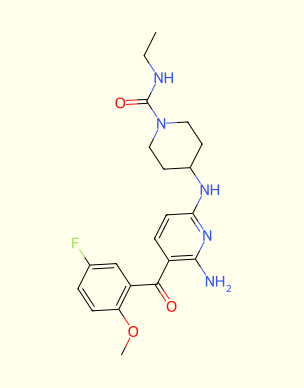 CCNC(=O)N1CCC(Nc2ccc(C(=O)c3cc(F)ccc3OC)c(N)n2)CC1